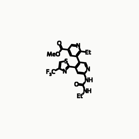 CCNC(=O)Nc1cc(-c2nc(C(F)(F)F)cs2)c(-c2cc(C(=O)OC)cnc2CC)cn1